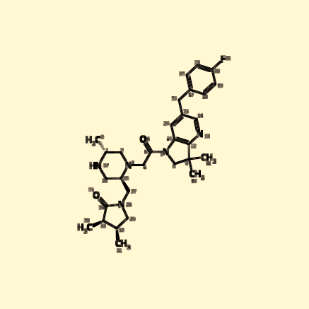 C[C@@H]1CN(CC(=O)N2CC(C)(C)c3ncc(Cc4ccc(F)cc4)cc32)[C@@H](CN2C[C@@H](C)[C@@H](C)C2=O)CN1